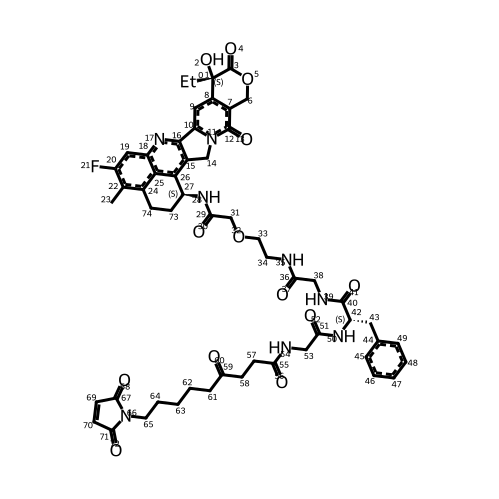 CC[C@@]1(O)C(=O)OCc2c1cc1n(c2=O)Cc2c-1nc1cc(F)c(C)c3c1c2[C@@H](NC(=O)COCCNC(=O)CNC(=O)[C@H](Cc1ccccc1)NC(=O)CNC(=O)CCC(=O)CCCCCN1C(=O)C=CC1=O)CC3